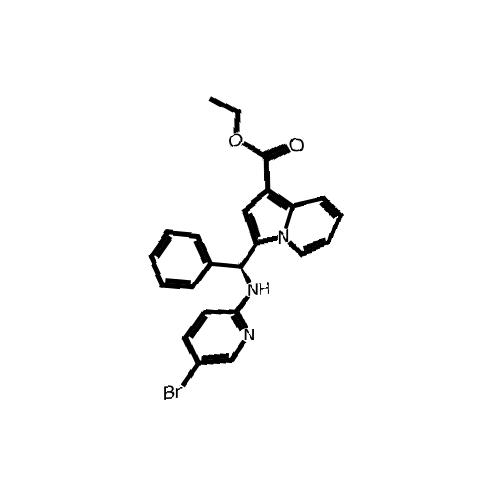 CCOC(=O)c1cc([C@@H](Nc2ccc(Br)cn2)c2ccccc2)n2ccccc12